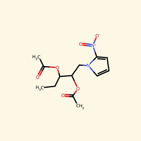 CCC(OC(C)=O)C(Cn1cccc1[N+](=O)[O-])OC(C)=O